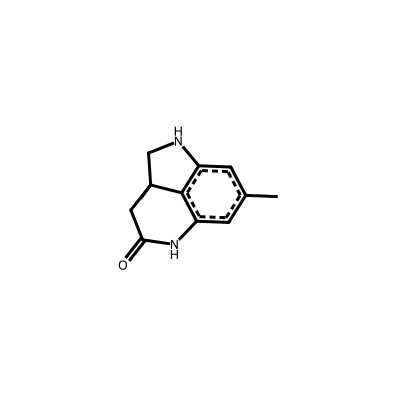 Cc1cc2c3c(c1)NC(=O)CC3(C)CN2